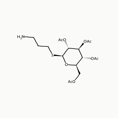 CC(=O)OC[C@H]1O[C@@H](SCCCN)[C@H](OC(C)=O)[C@@H](OC(C)=O)[C@@H]1OC(C)=O